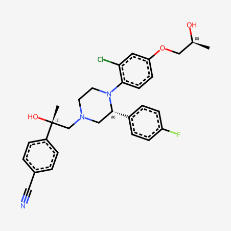 C[C@H](O)COc1ccc(N2CCN(C[C@@](C)(O)c3ccc(C#N)cc3)C[C@H]2c2ccc(F)cc2)c(Cl)c1